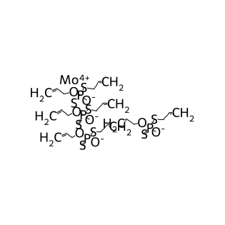 C=CCOP([O-])(=S)SCC=C.C=CCOP([O-])(=S)SCC=C.C=CCOP([O-])(=S)SCC=C.C=CCOP([O-])(=S)SCC=C.[Mo+4]